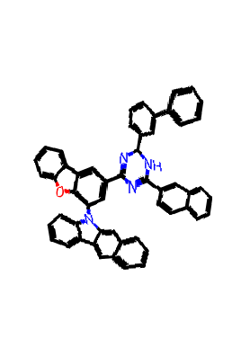 c1ccc(-c2cccc(C3N=C(c4cc(-n5c6ccccc6c6cc7ccccc7cc65)c5oc6ccccc6c5c4)N=C(c4ccc5ccccc5c4)N3)c2)cc1